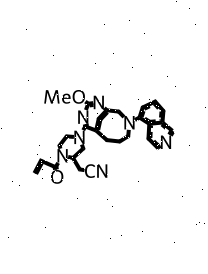 C=CC(=O)N1CCN(C2=NC(OC)=NC3=C=C2CCCN(c2cccc4cnccc24)C3)CC1CC#N